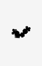 CNC(=O)c1ccc2c(-c3cc(-c4ccc(C(=O)N(C)C)cc4)no3)n[nH]c2c1